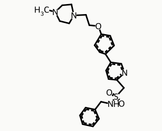 CN1CCN(CCOc2ccc(-c3ccc(CS(=O)(=O)NCc4ccccc4)nc3)cc2)CC1